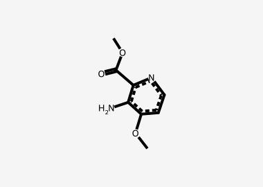 COC(=O)c1nccc(OC)c1N